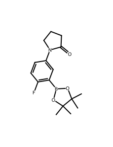 CC1(C)OB(c2cc(N3CCCC3=O)ccc2F)OC1(C)C